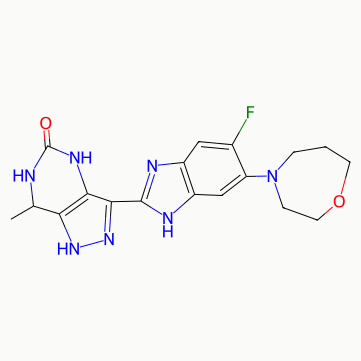 CC1NC(=O)Nc2c(-c3nc4cc(F)c(N5CCCOCC5)cc4[nH]3)n[nH]c21